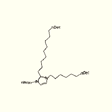 CCCCCCCCCCCCCCCCCCCc1n(CCCCCCCCC)cc[n+]1CCCCCCCCCCCCCCCC